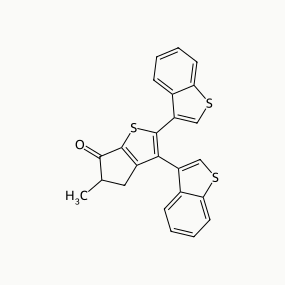 CC1Cc2c(sc(-c3csc4ccccc34)c2-c2csc3ccccc23)C1=O